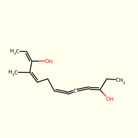 C/C=C(O)\C(C)=C/CC=C=C=C=C(O)CC